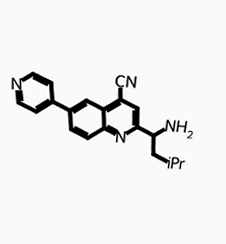 CC(C)CC(N)c1cc(C#N)c2cc(-c3ccncc3)ccc2n1